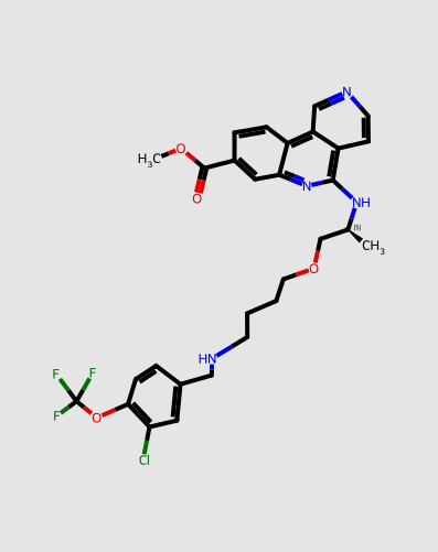 COC(=O)c1ccc2c(c1)nc(N[C@@H](C)COCCCCNCc1ccc(OC(F)(F)F)c(Cl)c1)c1ccncc12